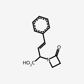 O=C(O)C(C=Cc1ccccc1)N1CCC1=O